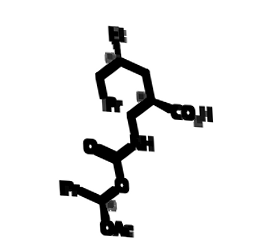 CC[C@@H](CC(C)C)C[C@H](CNC(=O)O[C@@H](OC(C)=O)C(C)C)C(=O)O